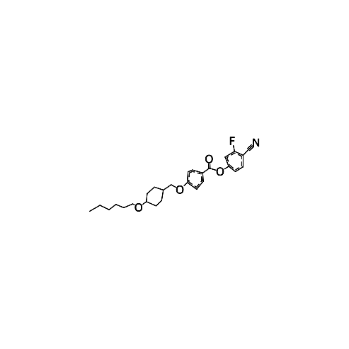 CCCCCCOC1CCC(COc2ccc(C(=O)Oc3ccc(C#N)c(F)c3)cc2)CC1